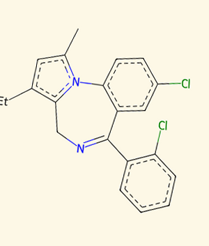 CCc1cc(C)n2c1CN=C(c1ccccc1Cl)c1cc(Cl)ccc1-2